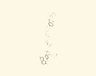 CCc1c(F)ccc2cc(O)cc(-c3c(F)cc4c(N5CCC[C@@](C)(O)C5)nc(OCC5(CN6CCC7(CC6)CC(CN6CCN(c8ccc9c(c8)C(=O)N(C8CCC(=O)NC8=O)C9=O)CC6)C7)CC5)nc4c3F)c12